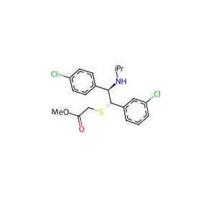 COC(=O)CS[C@@H](c1cccc(Cl)c1)[C@H](NC(C)C)c1ccc(Cl)cc1